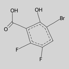 O=C(O)c1c(O)c(Br)cc(F)c1F